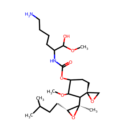 COC(O)C(CCCCN)NC(=O)OC1CC[C@]2(CO2)C([C@@]2(C)O[C@@H]2CCC(C)C)C1OC